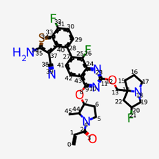 C=CC(=O)N1CCC(Oc2nc(OCC34CCCN3CC(F)C4)nc3c(F)c(-c4ccc(F)c5sc(N)c(C#N)c45)ccc23)C1C